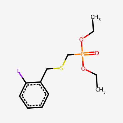 CCOP(=O)(CSCc1ccccc1I)OCC